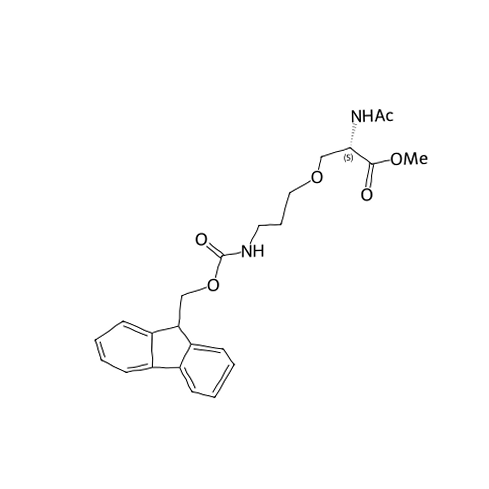 COC(=O)[C@H](COCCCNC(=O)OCC1c2ccccc2-c2ccccc21)NC(C)=O